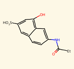 CCC(=O)Nc1ccc2cc(S(=O)(=O)O)cc(O)c2c1